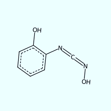 ON=C=Nc1ccccc1O